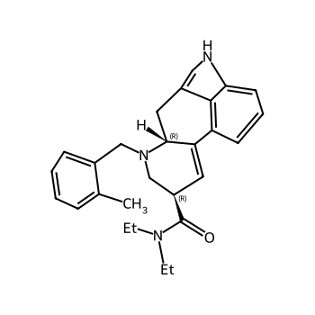 CCN(CC)C(=O)[C@@H]1C=C2c3cccc4[nH]cc(c34)C[C@H]2N(Cc2ccccc2C)C1